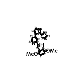 COc1ccc(OC)c(CNc2cc(-c3ccnn3-c3nccs3)ccn2)c1